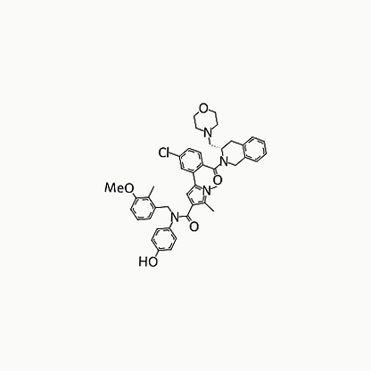 COc1cccc(CN(C(=O)c2cc(-c3cc(Cl)ccc3C(=O)N3Cc4ccccc4C[C@H]3CN3CCOCC3)n(C)c2C)c2ccc(O)cc2)c1C